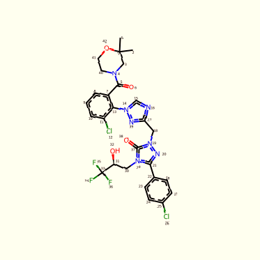 CC1(C)CN(C(=O)c2cccc(Cl)c2-n2cnc(Cn3nc(-c4ccc(Cl)cc4)n(C[C@H](O)C(F)(F)F)c3=O)n2)CCO1